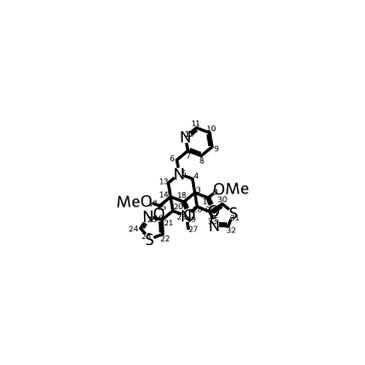 COC(=O)C12CN(Cc3ccccn3)CC(C(=O)OC)(C1=O)C(c1cscn1)N(C)C2c1cscn1